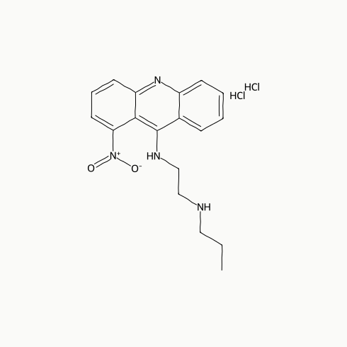 CCCNCCNc1c2ccccc2nc2cccc([N+](=O)[O-])c12.Cl.Cl